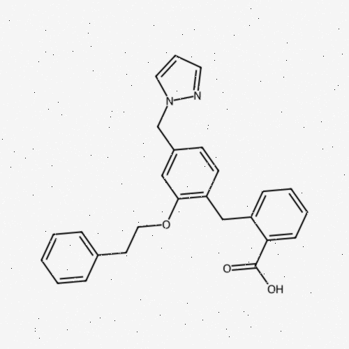 O=C(O)c1ccccc1Cc1ccc(Cn2cccn2)cc1OCCc1ccccc1